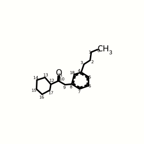 CCCCc1cccc(CC(=O)C2CCCCC2)c1